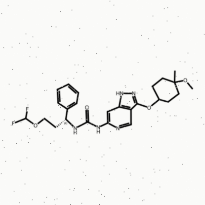 COC1(C)CCC(Oc2n[nH]c3cc(NC(=O)N[C@H](CCOC(F)F)c4ccccc4)ncc23)CC1